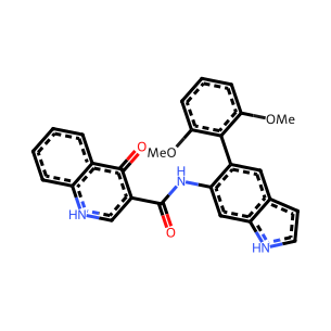 COc1cccc(OC)c1-c1cc2cc[nH]c2cc1NC(=O)c1c[nH]c2ccccc2c1=O